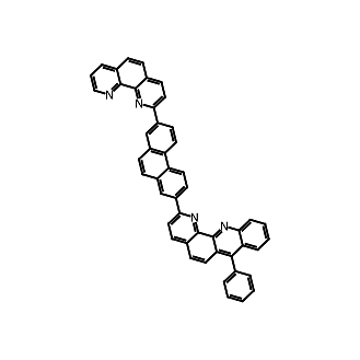 c1ccc(-c2c3ccccc3nc3c2ccc2ccc(-c4ccc5c(ccc6cc(-c7ccc8ccc9cccnc9c8n7)ccc65)c4)nc23)cc1